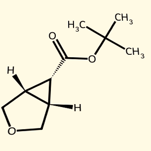 CC(C)(C)OC(=O)[C@@H]1[C@@H]2COC[C@@H]21